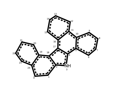 [c]1cc2[nH]c3c4ccccc4c4ccccc4c3c2c2ccccc12